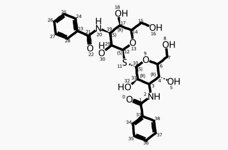 O=C(NC1[C@@H](O)C(CO)O[C@@H](S[C@@H]2OC(CO)[C@H](O)[C@H](NC(=O)c3ccccc3)C2O)[C@@H]1O)c1ccccc1